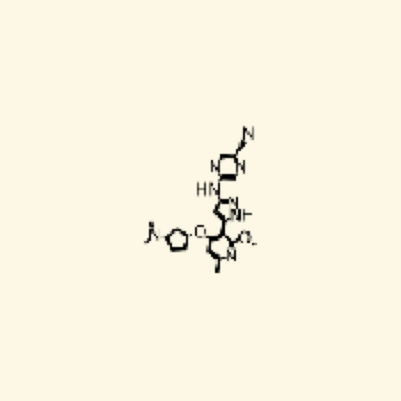 COc1nc(C)cc(O[C@@H]2CC[C@H](N(C)C)C2)c1-c1cc(Nc2cnc(C#N)cn2)n[nH]1